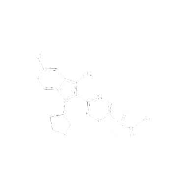 CC(C)NS(=O)(=O)c1cnc(-c2c(C#N)c3cc(Cl)ccc3n2C2CCCC2)nc1